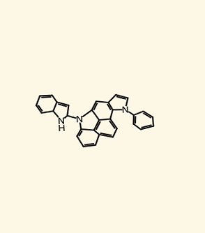 C1=CC2=CC(n3c4cccc5ccc6c(c54)c3cc3ccn(-c4ccccc4)c36)NC2C=C1